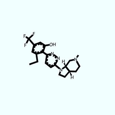 CCc1cc(C(F)(F)F)cc(O)c1-c1ccc(N2CC[C@H]3CCN(C)C[C@H]32)nn1